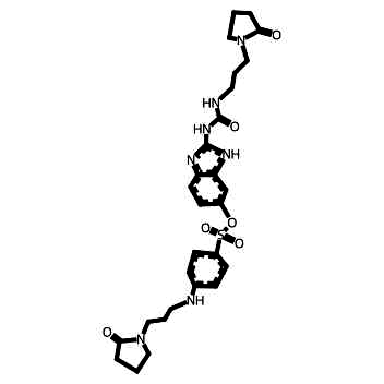 O=C(NCCCN1CCCC1=O)Nc1nc2ccc(OS(=O)(=O)c3ccc(NCCCN4CCCC4=O)cc3)cc2[nH]1